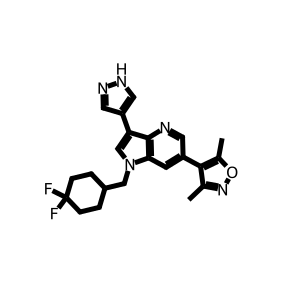 Cc1noc(C)c1-c1cnc2c(-c3cn[nH]c3)cn(CC3CCC(F)(F)CC3)c2c1